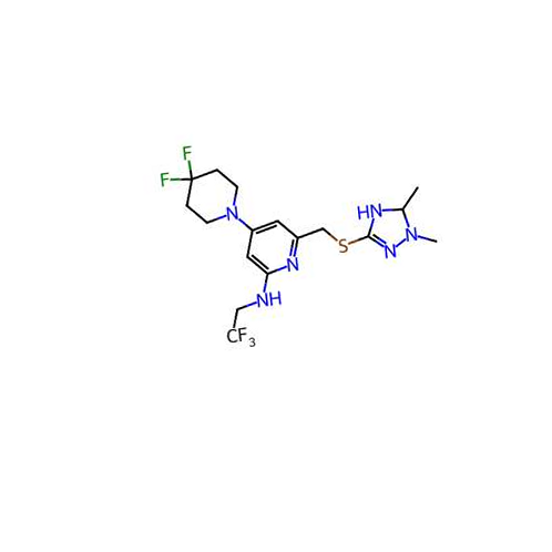 CC1NC(SCc2cc(N3CCC(F)(F)CC3)cc(NCC(F)(F)F)n2)=NN1C